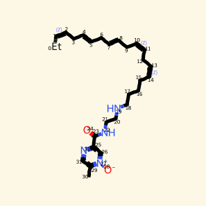 CC/C=C\CC=CCC=CC/C=C\C/C=C\CCCCNCCNC(=O)c1c[n+]([O-])c(C)cn1